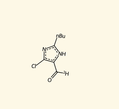 [2H]C(=O)c1[nH]c(CCCC)nc1Cl